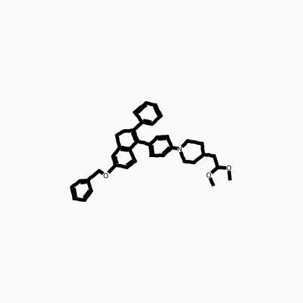 COC(CC1CCN(c2ccc(C3=C(c4ccccc4)CCc4cc(OCc5ccccc5)ccc43)cc2)CC1)OC